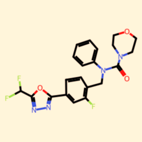 O=C(N1CCOCC1)N(Cc1ccc(-c2nnc(C(F)F)o2)cc1F)c1ccccc1